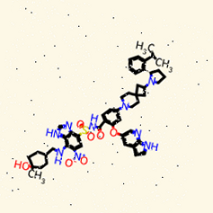 CC(C)c1ccccc1[C@@H]1CCCN1C1CC2(CCN(c3ccc(C(=O)NS(=O)(=O)c4cc([N+](=O)[O-])c(NCC5CCC(C)(O)CC5)c5[nH]cnc45)c(Oc4cnc5[nH]ccc5c4)c3)CC2)C1